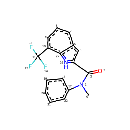 CN(C(=O)c1cc2cccc(C(F)(F)F)c2[nH]1)c1ccccc1